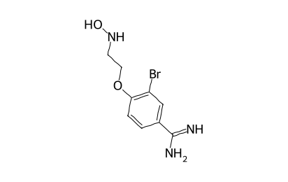 N=C(N)c1ccc(OCCNO)c(Br)c1